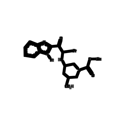 CCn1c(C(=O)C(NC2CC(C(=O)O)CN(C(=O)OC(C)(C)C)C2)C(C)C)nc2ccccc21